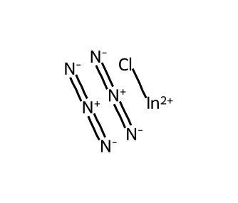 [Cl][In+2].[N-]=[N+]=[N-].[N-]=[N+]=[N-]